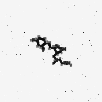 CN(CCN)Cc1c[nH]nc1/C=C/c1ccc(F)cc1F